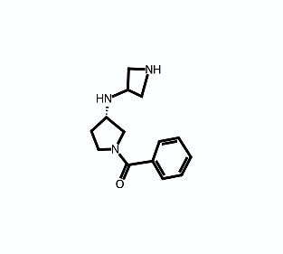 O=C(c1ccccc1)N1CC[C@H](NC2CNC2)C1